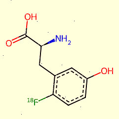 N[C@@H](Cc1cc(O)ccc1[18F])C(=O)O